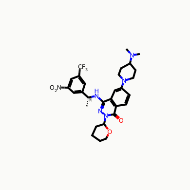 C[C@@H](Nc1nn(C2CCCCO2)c(=O)c2ccc(N3CCC(N(C)C)CC3)cc12)c1cc([N+](=O)[O-])cc(C(F)(F)F)c1